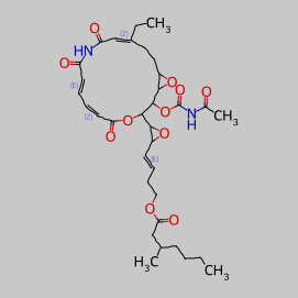 CCCCC(C)CC(=O)OCC/C=C/C1OC1C1OC(=O)/C=C\C=C\C(=O)NC(=O)/C=C(/CC)CCC2OC2C1OC(=O)NC(C)=O